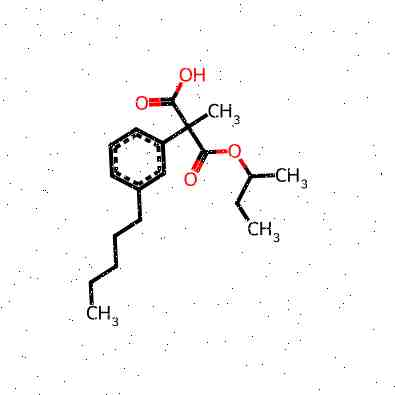 CCCCCc1cccc(C(C)(C(=O)O)C(=O)OC(C)CC)c1